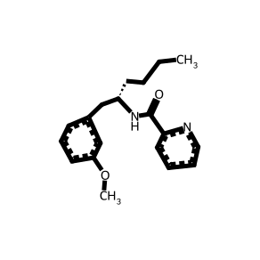 CCCC[C@@H](Cc1cccc(OC)c1)NC(=O)c1ccccn1